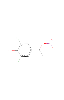 CC(O[PH](=O)O)c1cc(Br)c(O)c(Br)c1